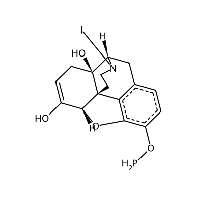 OC1=CC[C@]2(O)[C@@H]3Cc4ccc(OP)c5c4[C@]2(CCN3I)[C@@H]1O5